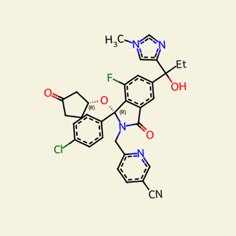 CCC(O)(c1cc(F)c2c(c1)C(=O)N(Cc1ccc(C#N)cn1)[C@@]2(O[C@@H]1CCC(=O)C1)c1ccc(Cl)cc1)c1cn(C)cn1